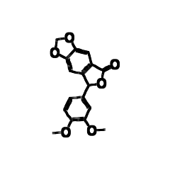 COc1ccc(C2OC(=O)c3cc4c(cc32)OCO4)cc1OC